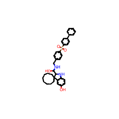 O=S(=O)(c1ccc(CNC(O)C2Nc3ccc(O)cc3C23CCCCCCCC3)cc1)c1ccc(-c2ccccc2)cc1